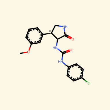 COc1cccc([C@H]2CNC(=O)C2NC(=O)Nc2ccc(Cl)cc2)c1